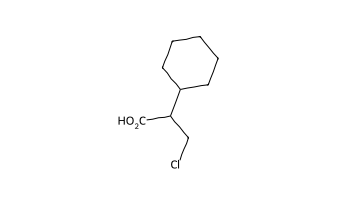 O=C(O)C(CCl)C1CCCCC1